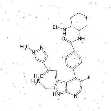 C=C(/C=c1\c(=C/N)[nH]c2ncc(F)c(-c3ccc(C(=O)N[C@H]4CCCCC4NCC)cc3)c12)c1cnn(C)c1